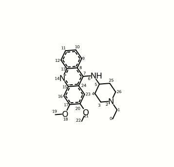 CCN1CCC(Nc2c3ccccc3nc3cc(OC)c(OC)cc23)CC1